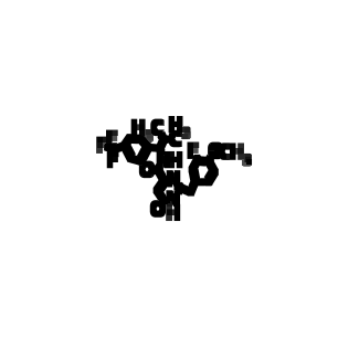 COc1ccc(Cc2nc(C(=O)NC(c3ccc(C(F)(F)F)cc3)C(C)C)cc(=O)[nH]2)cc1F